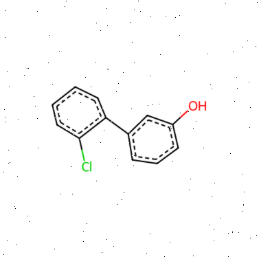 Oc1cccc(-c2ccccc2Cl)c1